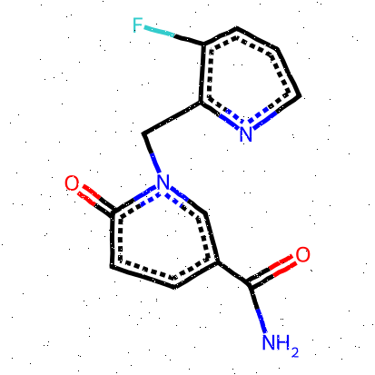 NC(=O)c1ccc(=O)n(Cc2ncccc2F)c1